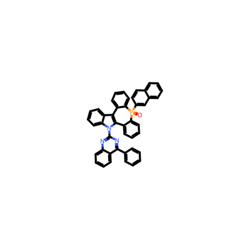 O=P1(c2ccc3ccccc3c2)c2ccccc2-c2c(n(-c3nc(-c4ccccc4)c4ccccc4n3)c3ccccc23)-c2ccccc21